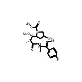 COC1CC([C@H](OC)[C@@H](C)C(=O)N[C@H](C)C(=NO)c2ccc(F)cc2)N(C(=O)OC(C)(C)C)C1